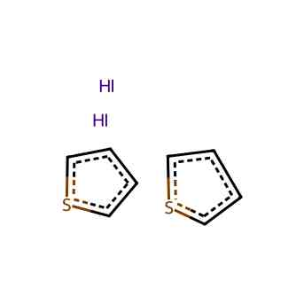 I.I.c1ccsc1.c1ccsc1